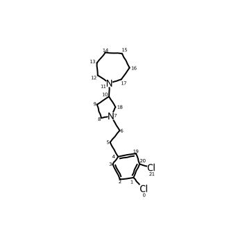 Clc1ccc(CCN2CCC(N3CCCCCC3)C2)cc1Cl